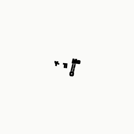 [O]=[Mo].[Ti].[Y]